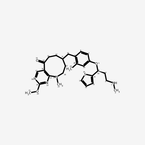 CNCC[C@H](Oc1ccc(CC2CCC(=O)c3cnc(OC)nc3N(C)CC2)c(C)c1)c1cccs1